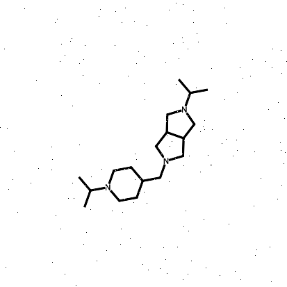 CC(C)N1CCC(CN2CC3CN(C(C)C)CC3C2)CC1